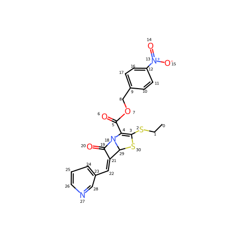 CCSC1=C(C(=O)OCc2ccc([N+](=O)[O-])cc2)N2C(=O)C(=Cc3cccnc3)C2S1